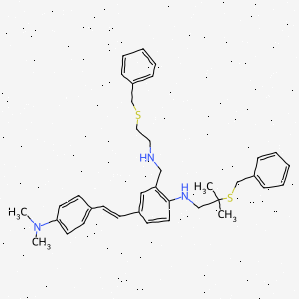 CN(C)c1ccc(/C=C/c2ccc(NCC(C)(C)SCc3ccccc3)c(CNCCSCc3ccccc3)c2)cc1